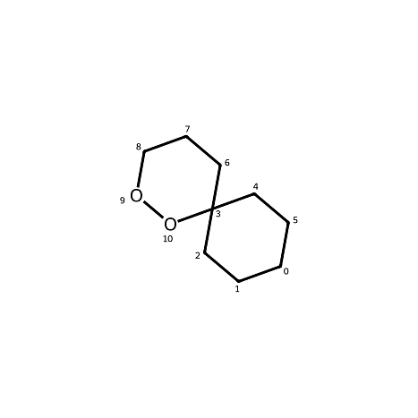 C1CCC2(CC1)CCCOO2